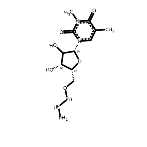 Cc1cn([C@@H]2O[C@H](COPPP)[C@H](O)C2O)c(=O)n(C)c1=O